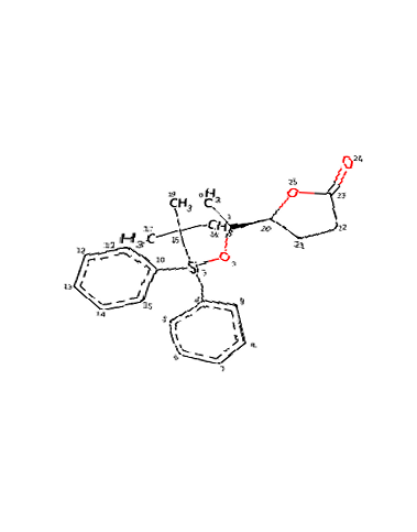 CC(O[Si](c1ccccc1)(c1ccccc1)C(C)(C)C)[C@@H]1CCC(=O)O1